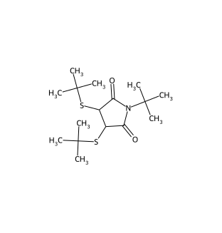 CC(C)(C)SC1C(=O)N(C(C)(C)C)C(=O)C1SC(C)(C)C